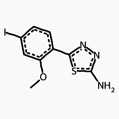 COc1cc(I)ccc1-c1nnc(N)s1